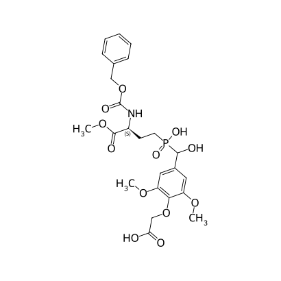 COC(=O)[C@H](CCP(=O)(O)C(O)c1cc(OC)c(OCC(=O)O)c(OC)c1)NC(=O)OCc1ccccc1